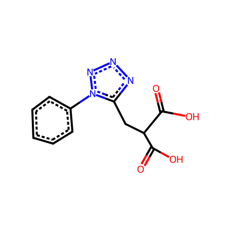 O=C(O)C(Cc1nnnn1-c1ccccc1)C(=O)O